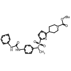 CN(c1ccc(NC(=O)Nc2ccccc2)cc1)S(=O)(=O)c1ccc(C2CCN(C(=O)OC(C)(C)C)CC2)s1